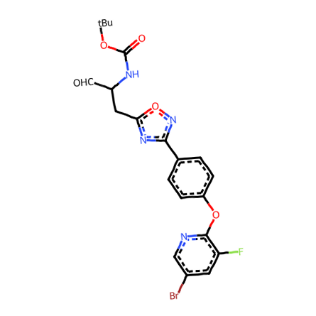 CC(C)(C)OC(=O)NC(C=O)Cc1nc(-c2ccc(Oc3ncc(Br)cc3F)cc2)no1